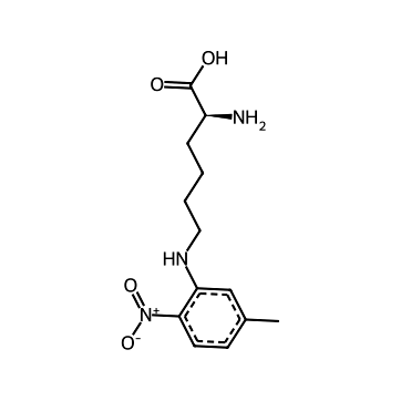 Cc1ccc([N+](=O)[O-])c(NCCCC[C@H](N)C(=O)O)c1